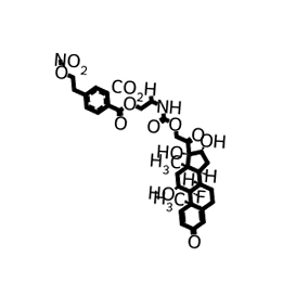 C[C@]12C=CC(=O)C=C1CC[C@H]1[C@@H]3C[C@@H](O)[C@](O)(C(=O)COC(=O)NC(COC(=O)c4ccc(CCO[N+](=O)[O-])cc4)C(=O)O)[C@@]3(C)C[C@H](O)[C@@]12F